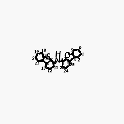 c1ccc2c(c1)oc1c(Nc3cccc4c3sc3ccccc34)cccc12